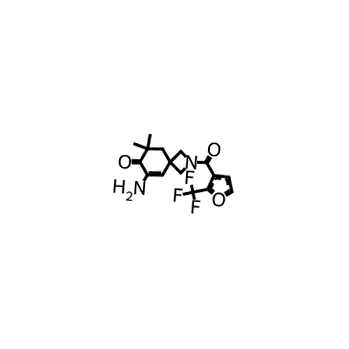 CC1(C)CC2(C=C(N)C1=O)CN(C(=O)c1ccoc1C(F)(F)F)C2